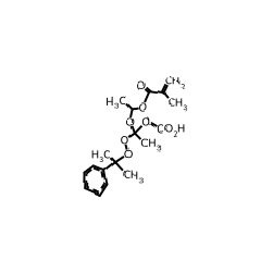 C=C(C)C(=O)OC(C)OC(C)(OOC(C)(C)c1ccccc1)OC(=O)O